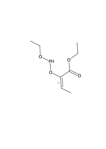 C/C=C(/OPOCC)C(=O)OCC